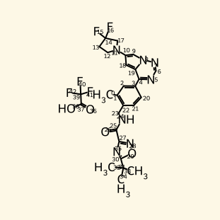 Cc1cc(-c2ncnn3cc(N4CCC(F)(F)C4)cc23)ccc1CNC(=O)c1noc(C(C)(C)C)n1.O=C(O)C(F)(F)F